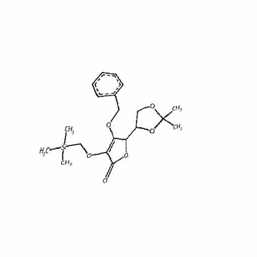 CC1(C)OCC(C2OC(=O)C(OC[Si](C)(C)C)=C2OCc2ccccc2)O1